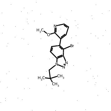 COc1ncccc1-c1ccc2c(nnn2CC(C)(C)C)c1Br